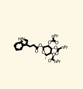 CCCC(=O)O[C@@H]1[C@@H](OC(=O)CCC)[C@H](C)O[C@@H](OC(=O)CCc2c[nH]c3ccccc23)[C@@H]1OC(=O)CCC